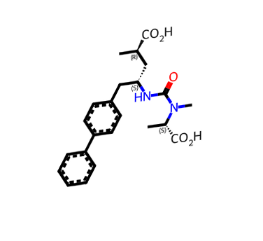 C[C@H](C[C@@H](Cc1ccc(-c2ccccc2)cc1)NC(=O)N(C)[C@@H](C)C(=O)O)C(=O)O